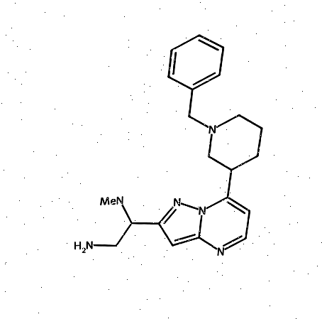 CNC(CN)c1cc2nccc(C3CCCN(Cc4ccccc4)C3)n2n1